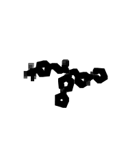 O=C(C=Cc1ccc(C(F)(F)F)cc1)N(Cc1ccnc(N2CCCC2)c1)C1CCN(C2CCCC2)CC1